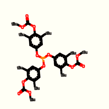 CC(C)(C)OC(=O)Oc1c(C(C)(C)C)cc(OP(Oc2cc(C(C)(C)C)c(OC(=O)OC(C)(C)C)c(C(C)(C)C)c2)Oc2cc(C(C)(C)C)c(OC(=O)OC(C)(C)C)c(C(C)(C)C)c2)cc1C(C)(C)C